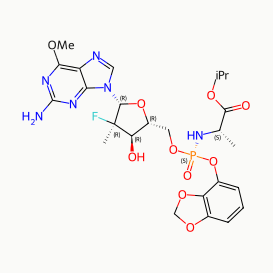 COc1nc(N)nc2c1ncn2[C@@H]1O[C@H](CO[P@@](=O)(N[C@@H](C)C(=O)OC(C)C)Oc2cccc3c2OCO3)[C@@H](O)[C@@]1(C)F